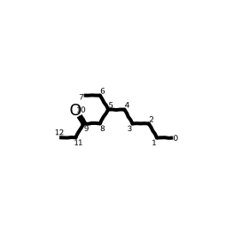 CCCCCC(CC)CC(=O)CC